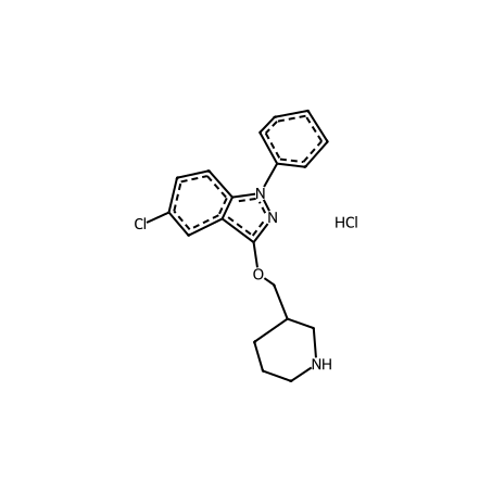 Cl.Clc1ccc2c(c1)c(OCC1CCCNC1)nn2-c1ccccc1